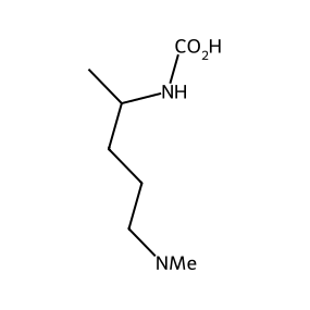 CNCCCC(C)NC(=O)O